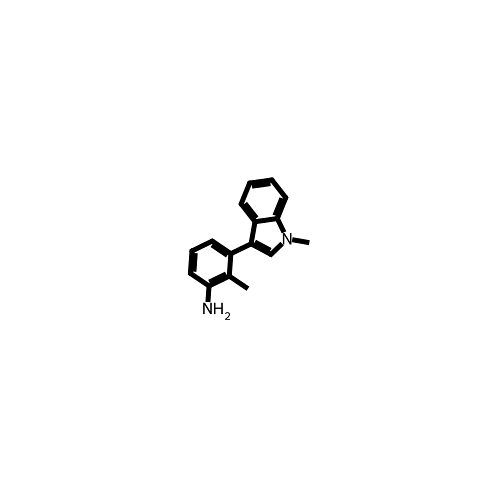 Cc1c(N)cccc1-c1cn(C)c2ccccc12